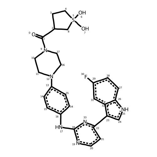 O=C(C1CCS(O)(O)C1)N1CCN(c2ccc(Nc3nccc(-c4c[nH]c5ccc(F)cc45)n3)cc2)CC1